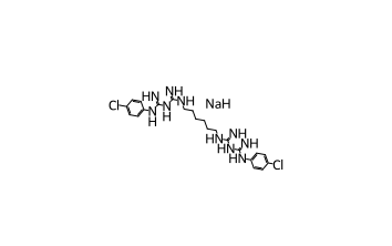 N=C(NCCCCCCNC(=N)NC(=N)Nc1ccc(Cl)cc1)NC(=N)Nc1ccc(Cl)cc1.[NaH]